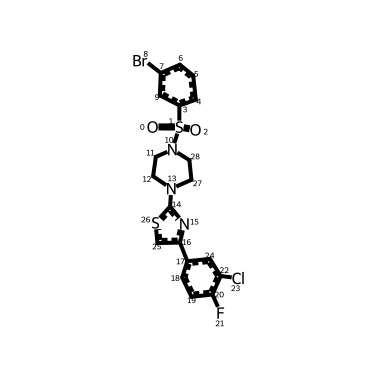 O=S(=O)(c1cccc(Br)c1)N1CCN(c2nc(-c3ccc(F)c(Cl)c3)cs2)CC1